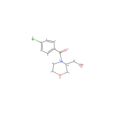 O=C(c1ccc(Br)cc1)N1CCOCC1CO